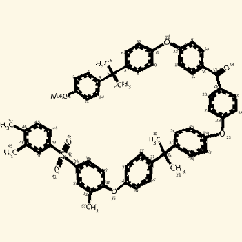 COc1ccc(C(C)(C)c2ccc(Oc3ccc(C(=O)c4ccc(Oc5ccc(C(C)(C)c6ccc(Oc7ccc(S(=O)(=O)c8ccc(C)c(C)c8)cc7C)cc6)cc5)cc4)cc3)cc2)cc1